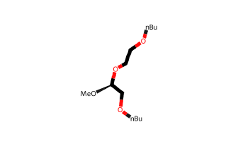 CCCCOCCO[C@@H](COCCCC)OC